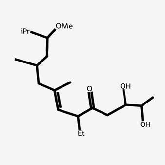 CCC(/C=C(\C)CC(C)CC(OC)C(C)C)C(=O)CC(O)C(C)O